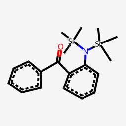 C[Si](C)(C)N(c1ccccc1C(=O)c1ccccc1)[Si](C)(C)C